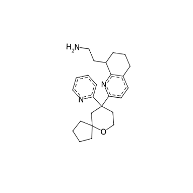 NCCC1CCCc2ccc(C3(c4ccccn4)CCOC4(CCCC4)C3)nc21